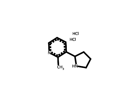 Cc1ncccc1C1CCCN1.Cl.Cl